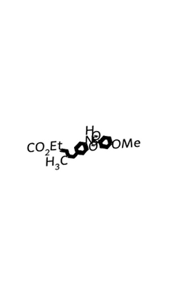 CCOC(=O)CCC(C)Cc1ccc(NS(=O)(=O)c2ccc(OC)cc2)cc1